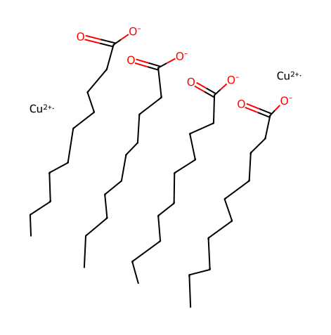 CCCCCCCCCC(=O)[O-].CCCCCCCCCC(=O)[O-].CCCCCCCCCC(=O)[O-].CCCCCCCCCC(=O)[O-].[Cu+2].[Cu+2]